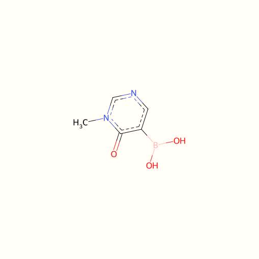 Cn1cncc(B(O)O)c1=O